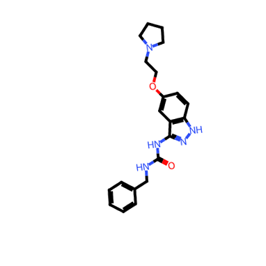 O=C(NCc1ccccc1)Nc1n[nH]c2ccc(OCCN3CCCC3)cc12